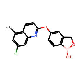 OB1OCc2cc(Oc3ccc4c(C(F)(F)F)cc(Cl)cc4n3)ccc21